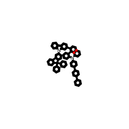 c1ccc(-c2ccc(-c3ccc(N(c4ccccc4)c4ccccc4-c4ccccc4-c4ccc5c6ccccc6n(-c6ccc7c(c6)-c6ccccc6C7(c6ccccc6)c6ccccc6)c5c4)cc3)cc2)cc1